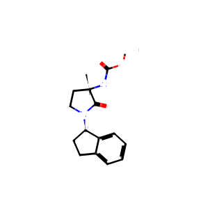 CC(C)(C)OC(=O)N[C@@]1(C)CCN([C@@H]2CCc3ccccc32)C1=O